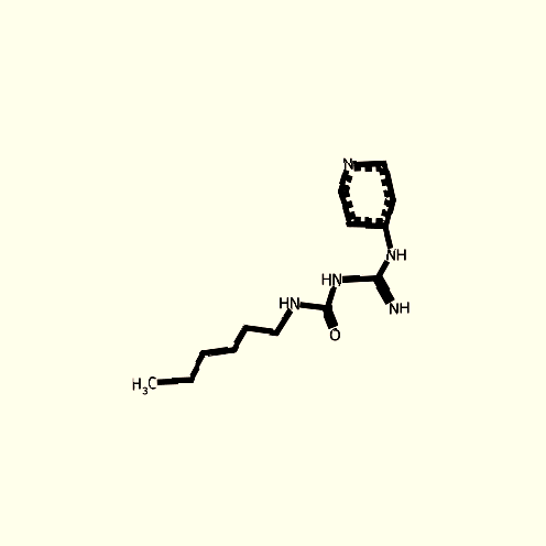 CCCCCCNC(=O)NC(=N)Nc1ccncc1